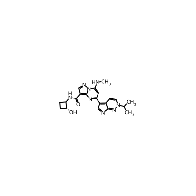 CNc1cc(-c2cnc3nn(C(C)C)ccc2-3)nc2c(C(=O)NC3CC[C@H]3O)cnn12